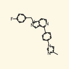 Cc1cn(-c2ccc(-c3nccc4c3cnn4Cc3ccc(F)cc3)cc2)cn1